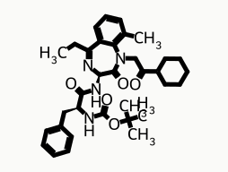 CCC1=N[C@H](NC(=O)[C@H](Cc2ccccc2)NC(=O)OC(C)(C)C)C(=O)N(CC(=O)C2CCCCC2)c2c(C)cccc21